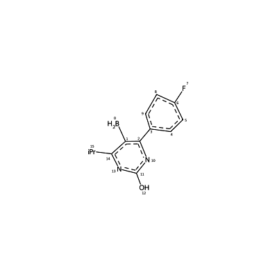 Bc1c(-c2ccc(F)cc2)nc(O)nc1C(C)C